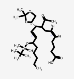 [3H]/C(CCCC(=O)O)=C(\[3H])CC(C(C)=O)C(/C=C/C(CCCCC)O[Si](C)(C)C(C)(C)C)[C@H]1COC(C)(C)O1